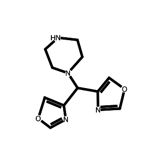 c1nc(C(c2cocn2)N2CCNCC2)co1